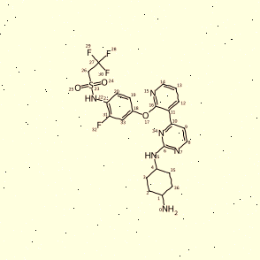 NC1CCC(Nc2nccc(-c3cccnc3Oc3ccc(NS(=O)(=O)CC(F)(F)F)c(F)c3)n2)CC1